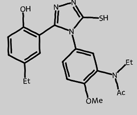 CCc1ccc(O)c(-c2nnc(S)n2-c2ccc(OC)c(N(CC)C(C)=O)c2)c1